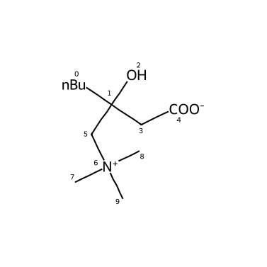 CCCCC(O)(CC(=O)[O-])C[N+](C)(C)C